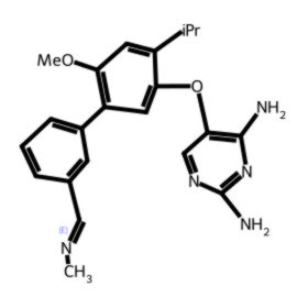 C/N=C/c1cccc(-c2cc(Oc3cnc(N)nc3N)c(C(C)C)cc2OC)c1